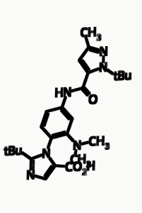 Cc1cc(C(=O)Nc2ccc(-n3c(C(=O)O)cnc3C(C)(C)C)c(N(C)C)c2)n(C(C)(C)C)n1